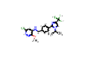 COc1nnc(Cl)cc1NCc1ccc(-c2nc(C(F)(F)F)cn2C(C)C)cc1